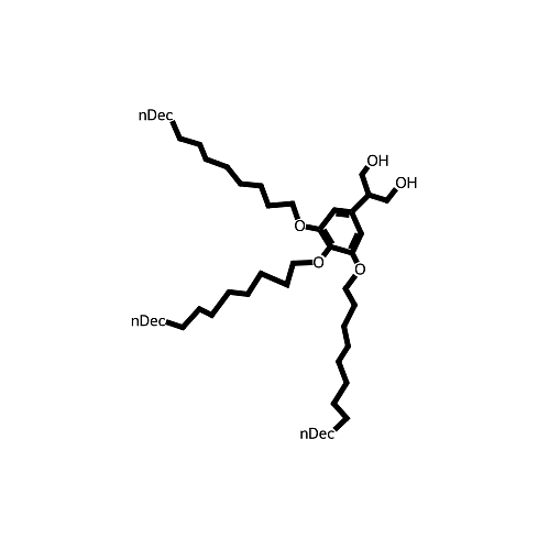 CCCCCCCCCCCCCCCCCCOc1cc(C(CO)CO)cc(OCCCCCCCCCCCCCCCCCC)c1OCCCCCCCCCCCCCCCCCC